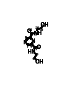 O=C(NCCO)c1cncc(C(=O)NCCO)n1